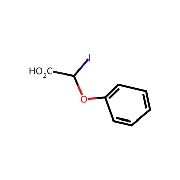 O=C(O)C(I)Oc1ccccc1